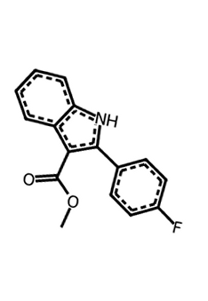 COC(=O)c1c(-c2ccc(F)cc2)[nH]c2ccccc12